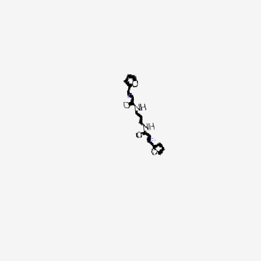 O=C(/C=C/c1ccco1)NCCCNC(=O)/C=C/c1ccco1